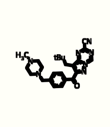 CN1CCN(Cc2ccc(C(=O)c3nn4cnc(C#N)nc4c3CC(C)(C)C)cc2)CC1